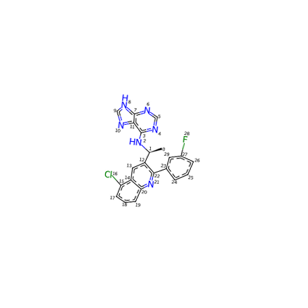 C[C@H](Nc1ncnc2[nH]cnc12)c1cc2c(Cl)cccc2nc1-c1cccc(F)c1